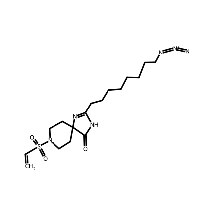 C=CS(=O)(=O)N1CCC2(CC1)N=C(CCCCCCCCN=[N+]=[N-])NC2=O